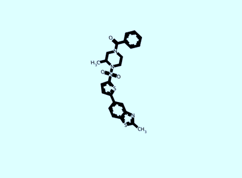 Cc1nc2cc(-c3ccc(S(=O)(=O)N4CCN(C(=O)c5ccccc5)CC4C)s3)ccc2s1